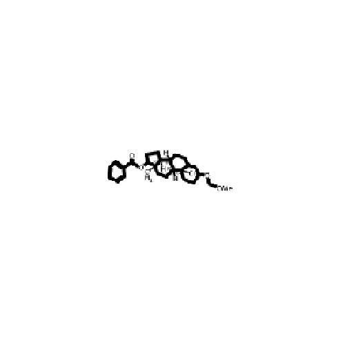 COCOC1CC[C@@]2(C)C(CC[C@@H]3[C@H]2CC[C@]2(C)C(OC(=O)c4ccccc4)CC[C@@H]32)C1